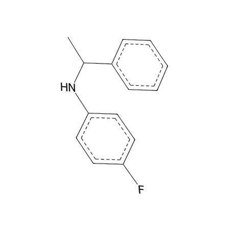 CC(Nc1ccc(F)cc1)c1ccccc1